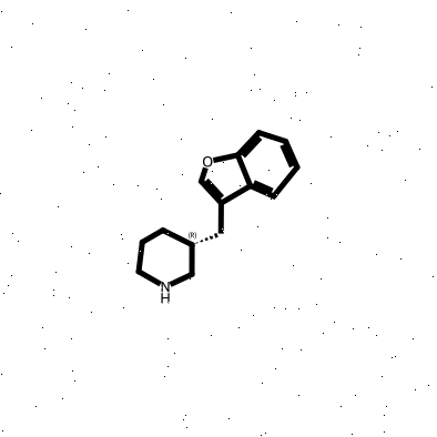 c1ccc2c(C[C@H]3CCCNC3)coc2c1